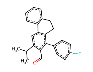 CC(C)c1cc2c(c(-c3ccc(F)cc3)c1C=O)CCc1ccccc1-2